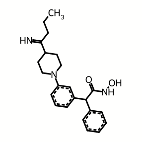 CCCC(=N)C1CCN(c2cccc(C(C(=O)NO)c3ccccc3)c2)CC1